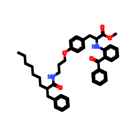 CCCCCCCC(Cc1ccccc1)C(=O)NCCCOc1ccc(CC(Nc2ccccc2C(=O)c2ccccc2)C(=O)OC)cc1